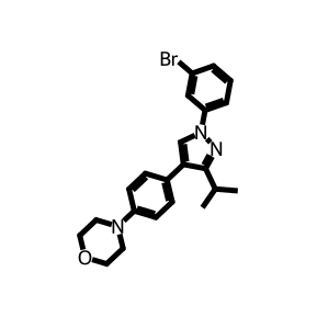 CC(C)c1nn(-c2cccc(Br)c2)cc1-c1ccc(N2CCOCC2)cc1